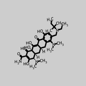 B=C1C(C(N)=O)=C(O)[C@@H](N(C)C)[C@@H]2C[C@@H]3Cc4c(c(O)cc(CN(CC)C(C)(C)CC)c4N(C)C)C(=O)C3=C(O)[C@]12O